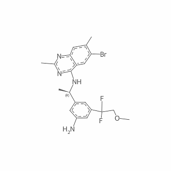 COCC(F)(F)c1cc(N)cc([C@@H](C)Nc2nc(C)nc3cc(C)c(Br)cc23)c1